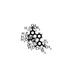 CC(C)(C)c1cc(-c2cccc(-c3cc(C(C)(C)C)cc(C(C)(C)C)c3)c2-n2cc(C(C)(C)C)sc2=S)cc(C(C)(C)C)c1